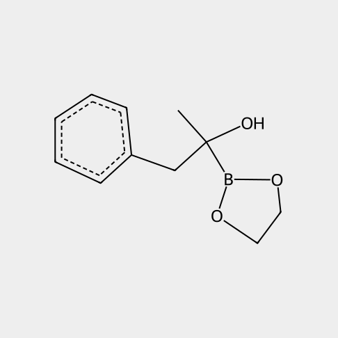 CC(O)(Cc1ccccc1)B1OCCO1